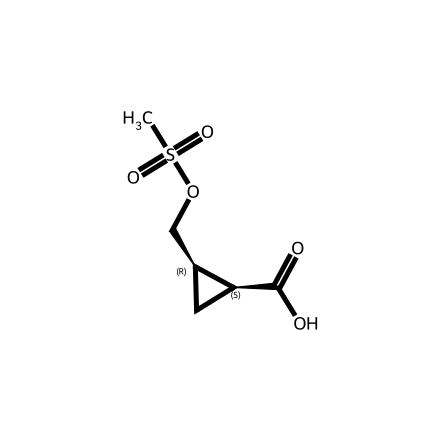 CS(=O)(=O)OC[C@@H]1C[C@@H]1C(=O)O